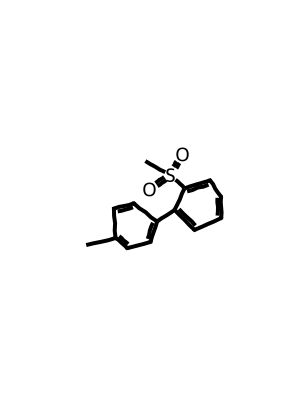 Cc1ccc(-c2ccccc2S(C)(=O)=O)cc1